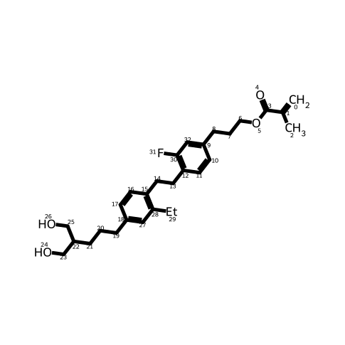 C=C(C)C(=O)OCCCc1ccc(CCc2ccc(CCCC(CO)CO)cc2CC)c(F)c1